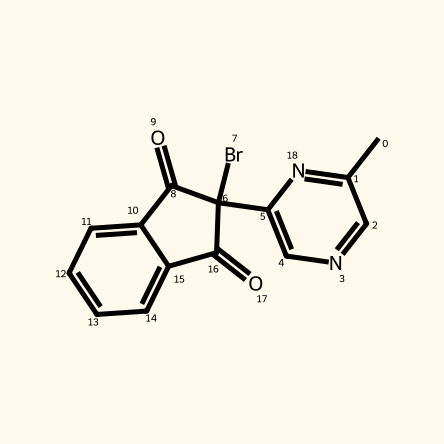 Cc1cncc(C2(Br)C(=O)c3ccccc3C2=O)n1